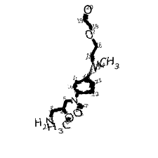 COC(CN)CN(C=O)c1ccc(N(C)CCOCC=O)cc1